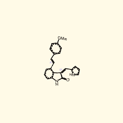 COc1ccc(/C=C/c2cccc3c2/C(=C/c2ccc[nH]2)C(=O)N3)cc1